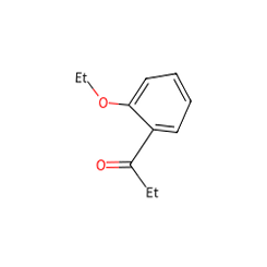 CCOc1ccccc1C(=O)CC